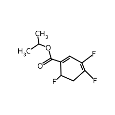 CC(C)OC(=O)C1=CC(F)=C(F)CC1F